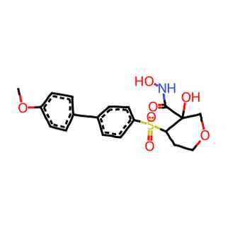 COc1ccc(-c2ccc(S(=O)(=O)C3CCOCC3(O)C(=O)NO)cc2)cc1